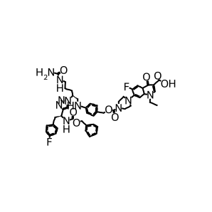 CCN1C=C(C(=O)O)C(=O)C2C=C(F)C(N3CCN(C(=O)OCc4ccc(NC[C@H](CCCNC(N)=O)n5cc([C@H](Cc6ccc(F)cc6)NC(=O)OCc6ccccc6)nn5)cc4)CC3)=CC21